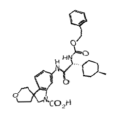 C[C@H]1CC[C@H](C(NC(=O)OCc2ccccc2)C(=O)Nc2ccc3c(c2)N(C(=O)O)CC32CCOCC2)CC1